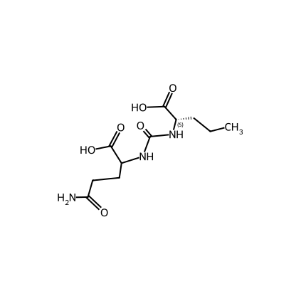 CCC[C@H](NC(=O)NC(CCC(N)=O)C(=O)O)C(=O)O